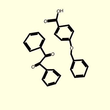 O=C(C(=O)c1ccccc1)c1ccccc1.O=C(O)c1ccc(OCc2ccccc2)cc1